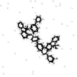 CC1(C)c2ccccc2-c2cc3c(cc21)C(c1ccccc1)Cc1ccc(-c2ccc(N(c4ccc(-c5ccccc5)cc4)c4cccc5c4C(C)(C)c4ccccc4-5)cc2)cc1-3